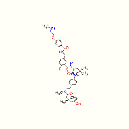 CNCCOc1ccc(C(=O)NCc2ccc(F)c(C(=O)NC(CC(C)(C)C)C(=O)Nc3ccc(CCN(C)C(=O)CC(C)(C)CC(=O)O)cc3)c2)cc1